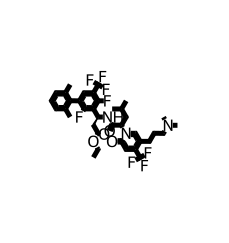 CCOC(=O)C[C@H](NC(=O)C(CC(C)C)n1cc(CCCN(C)C)c(C(F)(F)F)cc1=O)c1c(F)c(-c2c(C)cccc2C)cc(C(F)(F)F)c1F